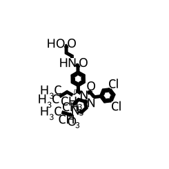 CC(C)(C)CC[C@H](c1ccc(C(=O)NCCC(=O)O)cc1)N1C(=O)C(c2cc(Cl)cc(Cl)c2)=NC12CCN(C(=O)C(C)(C)C)CC2